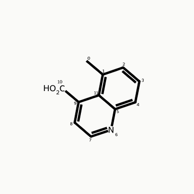 Cc1cccc2nccc(C(=O)O)c12